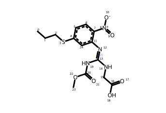 CCCSc1ccc([N+](=O)[O-])c(/N=C(/NCC(=O)O)NC(=O)OC)c1